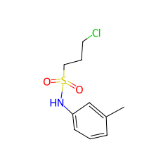 Cc1cccc(NS(=O)(=O)CCCCl)c1